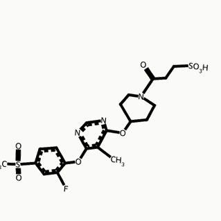 Cc1c(Oc2ccc(S(C)(=O)=O)cc2F)ncnc1OC1CCN(C(=O)CCS(=O)(=O)O)CC1